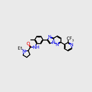 CCN1CCCC1C(=O)Nc1cc(-c2cn3nc(-c4cccnc4C(F)(F)F)ccc3n2)ccc1C